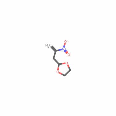 C=C(CC1OCCO1)[N+](=O)[O-]